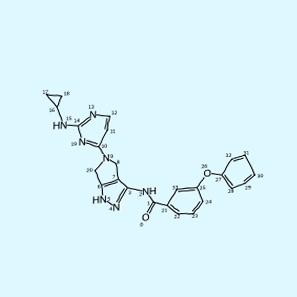 O=C(Nc1n[nH]c2c1CN(c1ccnc(NC3CC3)n1)C2)c1cccc(Oc2ccccc2)c1